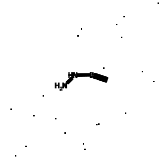 C=BNN